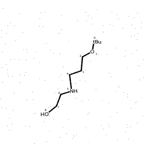 CC(C)(C)OCCCNCCO